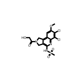 COc1cc2c3c(c(NS(C)(=O)=O)nc2c(Cl)c1Cl)CN(C(=O)CO)C3